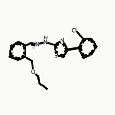 CCCOCc1ccccc1/C=N/Nc1nc(-c2ccccc2Cl)cs1